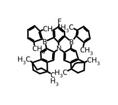 Cc1cccc(C)c1B1c2cc3c(cc2N2c4cc5c(cc4B(c4c(C)cccc4C)c4cc(F)cc1c42)C1(C)CCC5(C)CC1)C1(C)CCC3(C)CC1